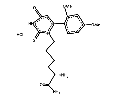 COc1ccc(-c2cc(=O)[nH]c(=S)n2CCCC[C@H](N)C(N)=O)c(OC)c1.Cl